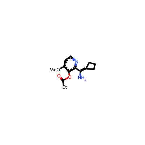 CCC(=O)Oc1c(OC)ccnc1C(N)=C1CCC1